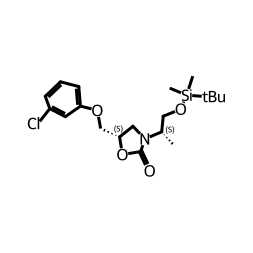 C[C@@H](CO[Si](C)(C)C(C)(C)C)N1C[C@@H](COc2cccc(Cl)c2)OC1=O